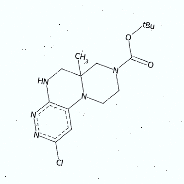 CC(C)(C)OC(=O)N1CCN2c3cc(Cl)nnc3NCC2(C)C1